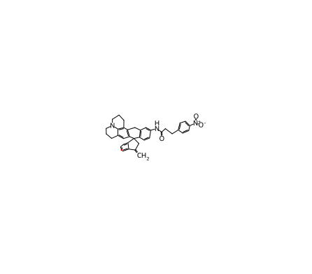 C=C1CC2(c3ccc(NC(=O)CCc4ccc([N+](=O)[O-])cc4)cc3Cc3c2cc2c4c3CCCN4CCC2)c2ccccc21